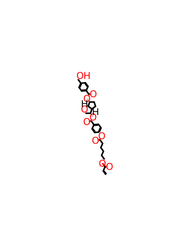 C=CC(=O)OCCCCCC(=O)Oc1ccc(C(=O)O[C@@H]2CO[C@H]3[C@@H]2CC[C@H]3OC(=O)c2ccc(CO)cc2)cc1